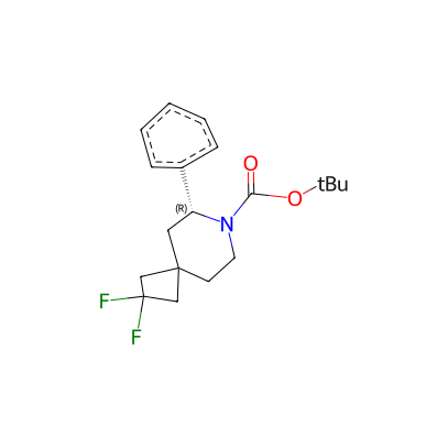 CC(C)(C)OC(=O)N1CCC2(C[C@@H]1c1ccccc1)CC(F)(F)C2